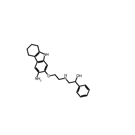 Nc1cc2c3c([nH]c2cc1OCCNCC(O)c1ccccc1)CCCC3